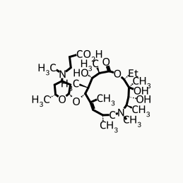 CC[C@H]1OC(=O)[C@H](C)[C@@H](O)[C@H](C)[C@@H](O[C@H]2CC(N(C)CCC(=O)O)C[C@@H](C)O2)/C(C)=C/[C@@H](C)CN(C)[C@H](C)[C@@H](O)[C@]1(C)O